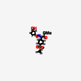 COC(=O)/C(=N/O[C@@H]1CCC(O)C1)c1ccc(S(=O)(=O)C2CC2)cc1